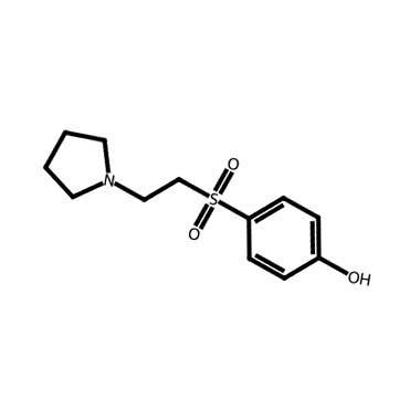 O=S(=O)(CCN1CCCC1)c1ccc(O)cc1